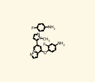 Cn1nccc1-c1cc(Oc2ccc(N)cc2F)c2ccnn2c1.Nc1ccc(F)cc1